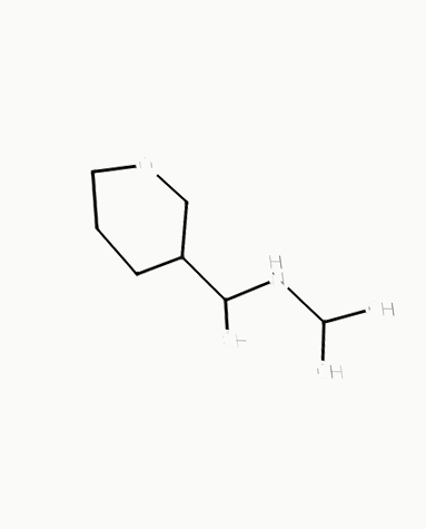 CC(C)NC(C)C1CCCOC1